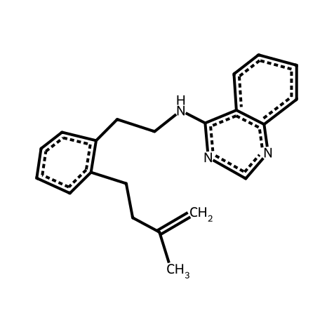 C=C(C)CCc1ccccc1CCNc1ncnc2ccccc12